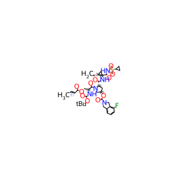 C=C[C@@H]1C[C@]1(NC(=O)[C@@H]1C[C@@H](OC(=O)N2Cc3cccc(F)c3C2)CN1C(=O)[C@H](COC(=O)/C=C/C)NC(=O)OC(C)(C)C)C(=O)NS(=O)(=O)C1CC1